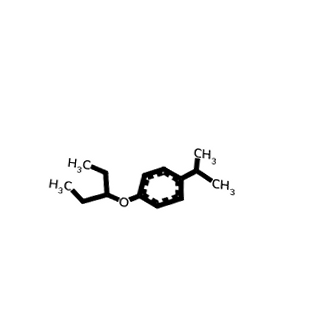 CCC(CC)Oc1ccc(C(C)C)cc1